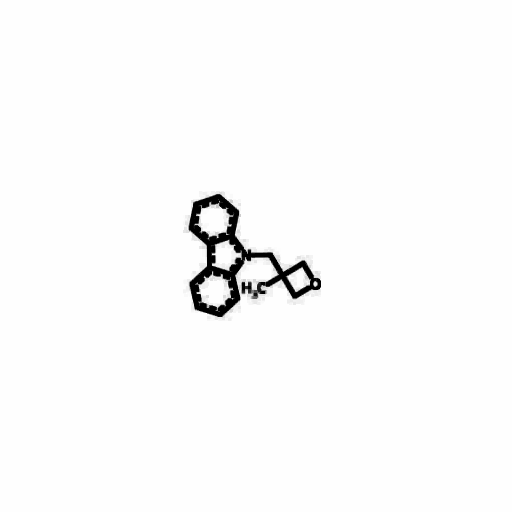 CC1(Cn2c3ccccc3c3ccccc32)COC1